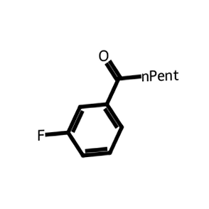 [CH2]CCCCC(=O)c1cccc(F)c1